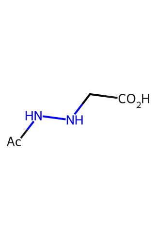 CC(=O)NNCC(=O)O